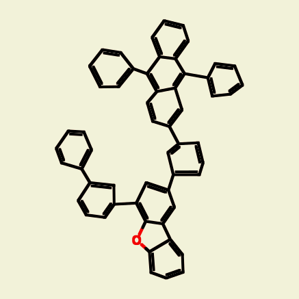 c1ccc(-c2cccc(-c3cc(-c4cccc(-c5ccc6c(-c7ccccc7)c7ccccc7c(-c7ccccc7)c6c5)c4)cc4c3oc3ccccc34)c2)cc1